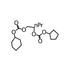 CCCC(COC(=O)OC1CCCCC1)OC(=O)OC1CCCC1